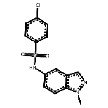 Cn1ncc2cc(NS(=O)(=O)c3ccc(Cl)cc3)ccc21